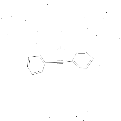 C(#Cc1ccccc1)c1ccccc1.[SiH4]